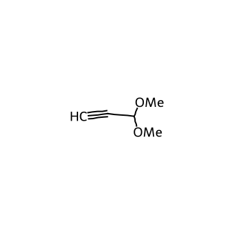 C#CC(OC)OC